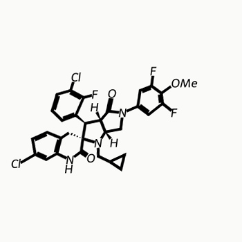 COc1c(F)cc(N2C[C@H]3[C@@H](C2=O)[C@H](c2cccc(Cl)c2F)[C@@]2(Cc4ccc(Cl)cc4NC2=O)N3CC2CC2)cc1F